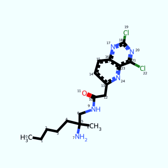 CCCCCC(C)(N)CNC(=O)Cc1ccc2nc(Cl)nc(Cl)c2n1